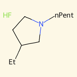 CCCCCN1CCC(CC)C1.F